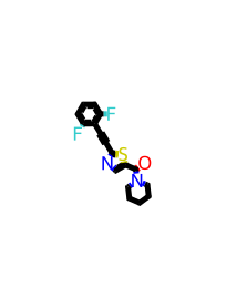 O=C(c1cnc(C#Cc2c(F)cccc2F)s1)N1CCCCC1